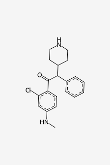 CNc1ccc(C(=O)C(c2ccccc2)C2CCNCC2)c(Cl)c1